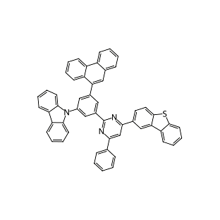 c1ccc(-c2cc(-c3ccc4sc5ccccc5c4c3)nc(-c3cc(-c4cc5ccccc5c5ccccc45)cc(-n4c5ccccc5c5ccccc54)c3)n2)cc1